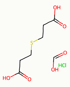 Cl.O=C(O)CCSCCC(=O)O.O=CO